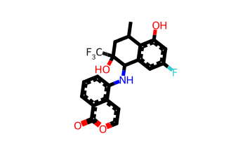 CC1CC(O)(C(F)(F)F)C(Nc2cccc3c(=O)occc23)c2cc(F)cc(O)c21